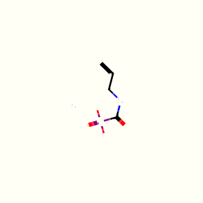 C=CCNC(=O)P(=O)(O)O.N